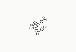 CCOc1ccc(Cc2cc([C@@H]3O[C@H](CSc4ccc(C(=O)N(C)C)cc4)[C@@H](O)[C@H](O)[C@H]3O)ccc2Cl)cc1